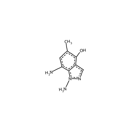 Cc1cc(N)c2c(cnn2N)c1O